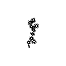 N#Cc1cccc(-n2c3ccccc3c3cc(-c4ccc(-c5ccc6c(c5)c5ccc(-c7cccc8c7oc7ccccc78)cc5n6-c5ccccc5)cc4)ccc32)c1